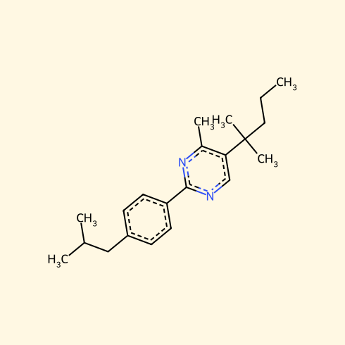 CCCC(C)(C)c1cnc(-c2ccc(CC(C)C)cc2)nc1C